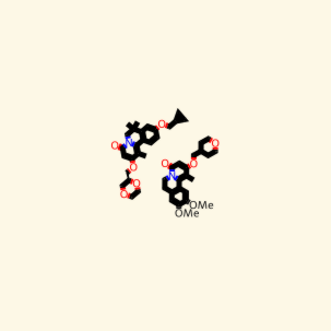 COc1cc2c(cc1OC)-c1c(C)c(OCC3CCOCC3)cc(=O)n1CC2.Cc1c(OC[C@@H]2COCCO2)cc(=O)n2c1-c1ccc(OCC3CC3)cc1C(C)(C)C2